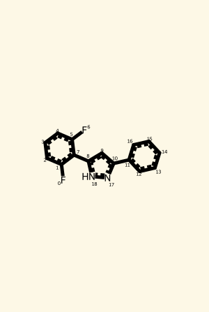 Fc1cccc(F)c1-c1cc(-c2ccccc2)n[nH]1